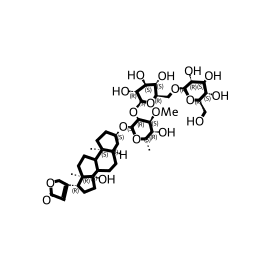 CO[C@H]1[C@H](O)[C@H](C)O[C@H](O[C@H]2CC[C@]3(C)C4CC[C@]5(C)[C@@H](C6=CC(=O)OC6)CC[C@]5(O)C4CC[C@@H]3C2)[C@@H]1O[C@@H]1O[C@H](CO[C@@H]2O[C@H](CO)[C@@H](O)[C@H](O)[C@H]2O)[C@@H](O)[C@H](O)[C@H]1O